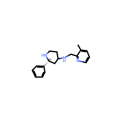 Cc1cccnc1CNC1CCN[C@@H](c2ccccc2)C1